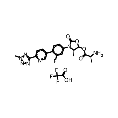 C[C@H](N)C(=O)OC1OC(=O)N(c2ccc(-c3ccc(-c4nnn(C)n4)nc3)c(F)c2)[C@@H]1C.O=C(O)C(F)(F)F